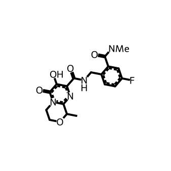 CNC(=O)c1cc(F)ccc1CNC(=O)c1nc2n(c(=O)c1O)CCOC2C